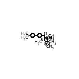 C=Nc1cc(-c2ccc(N(C)C)cc2)ccc1C(=O)N(C)CC[C@](C)(C(=O)NO)S(C)(=O)=O